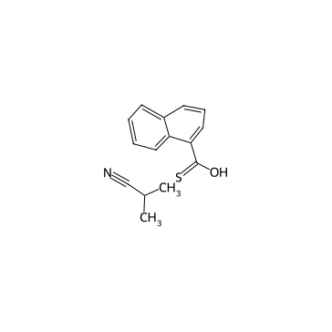 CC(C)C#N.OC(=S)c1cccc2ccccc12